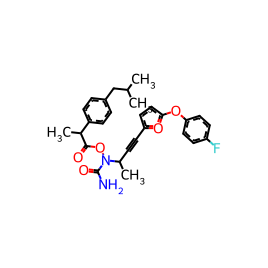 CC(C)Cc1ccc(C(C)C(=O)ON(C(N)=O)C(C)C#Cc2ccc(Oc3ccc(F)cc3)o2)cc1